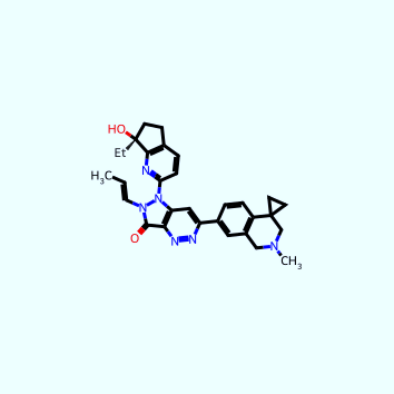 CC=Cn1c(=O)c2nnc(-c3ccc4c(c3)CN(C)CC43CC3)cc2n1-c1ccc2c(n1)[C@@](O)(CC)CC2